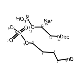 CCCCCCCCCCCCCCOS(=O)(=O)[O-].CCCCCCCCCCCCOS(=O)(=O)O.[Na+]